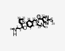 CNCC[C@H](Oc1ccc(CN2CCN(C)c3nc(SC)ncc3C2=O)cc1)c1cccs1